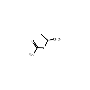 C[C@@H]([C]=O)OC(=O)C(C)(C)C